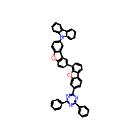 c1ccc(-c2nc(-c3ccccc3)nc(-c3ccc4c(c3)oc3c(-c5ccc6oc7ccc(-n8c9ccccc9c9ccccc98)cc7c6c5)cccc34)n2)cc1